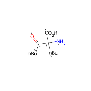 CCCCC(=O)C(N)(CCCC)C(=O)O